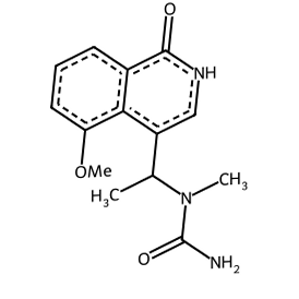 COc1cccc2c(=O)[nH]cc(C(C)N(C)C(N)=O)c12